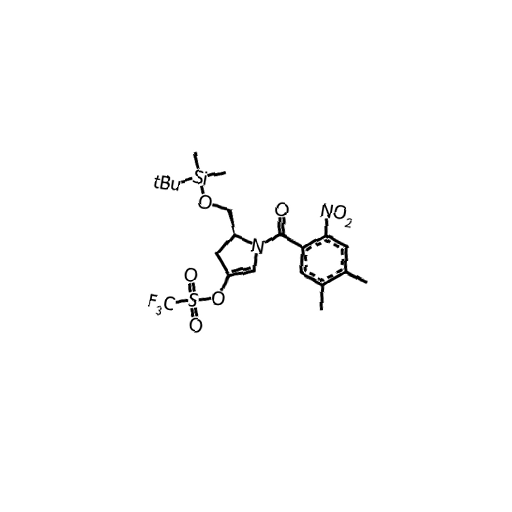 Cc1cc(C(=O)N2C=C(OS(=O)(=O)C(F)(F)F)C[C@H]2CO[Si](C)(C)C(C)(C)C)c([N+](=O)[O-])cc1C